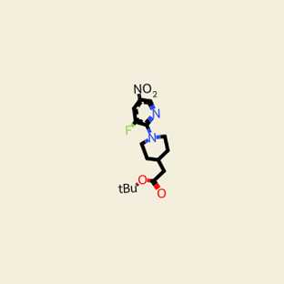 CC(C)(C)OC(=O)CC1CCN(c2ncc([N+](=O)[O-])cc2F)CC1